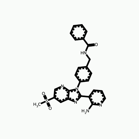 CS(=O)(=O)c1cnc2c(c1)nc(-c1cccnc1N)n2-c1ccc(CNC(=O)c2ccccc2)cc1